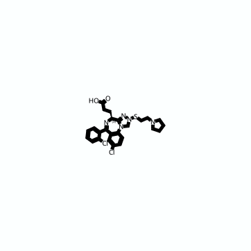 O=C(O)CC[C@@H]1N=C(c2ccccc2Cl)c2cc(Cl)ccc2N2CN(SCCN3CCCC3)N=C12